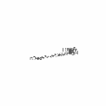 CCCCCCCCCCCCCCCCCCCCCCCCCCC=CN(C(O)CC)C(O)CC